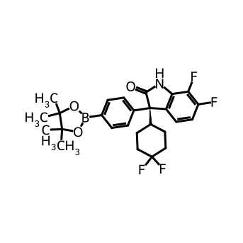 CC1(C)OB(c2ccc([C@]3(C4CCC(F)(F)CC4)C(=O)Nc4c3ccc(F)c4F)cc2)OC1(C)C